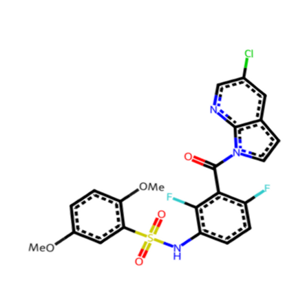 COc1ccc(OC)c(S(=O)(=O)Nc2ccc(F)c(C(=O)n3ccc4cc(Cl)cnc43)c2F)c1